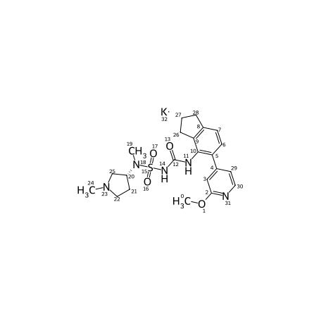 COc1cc(-c2ccc3c(c2NC(=O)NS(=O)(=O)N(C)[C@@H]2CCN(C)C2)CCC3)ccn1.[K]